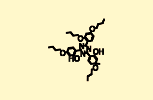 CCCCOc1ccc(-c2nc(C3=CCC(C)(OCCCC)C=C3O)nc(-c3ccc(OCCCC)cc3OCCCC)n2)c(O)c1